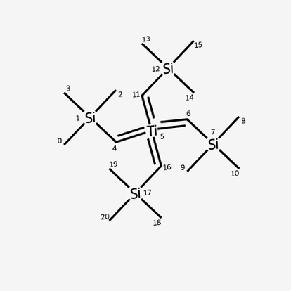 C[Si](C)(C)[CH]=[Ti](=[CH][Si](C)(C)C)(=[CH][Si](C)(C)C)=[CH][Si](C)(C)C